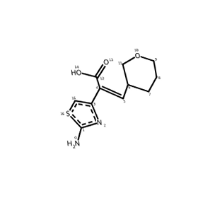 Nc1nc(C(=CC2CCCOC2)C(=O)O)cs1